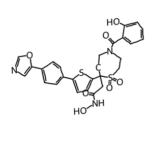 O=C(CC1(c2ccc(-c3ccc(-c4cnco4)cc3)s2)CCN(C(=O)c2ccccc2O)CCS1(=O)=O)NO